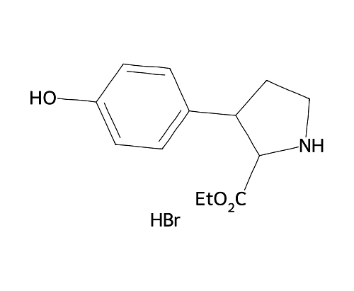 Br.CCOC(=O)C1NCCC1c1ccc(O)cc1